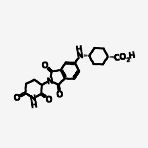 O=C1CCC(N2C(=O)c3ccc(N[C@H]4CC[C@@H](C(=O)O)CC4)cc3C2=O)C(=O)N1